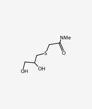 CNC(=O)CSCC(O)CO